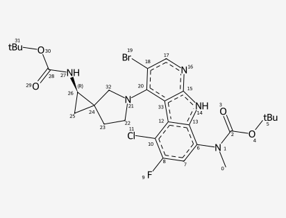 CN(C(=O)OC(C)(C)C)c1cc(F)c(Cl)c2c1[nH]c1ncc(Br)c(N3CCC4(C[C@H]4NC(=O)OC(C)(C)C)C3)c12